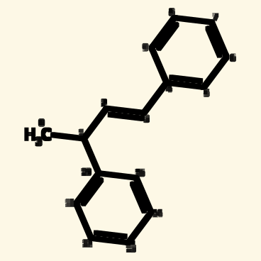 CC(/C=C/c1ccccc1)c1cc[c]cc1